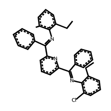 CCc1cccc(C)c1/N=C(\c1ccccc1)c1cccc(/C(=N/c2c(Cl)cccc2CC)c2ccccc2)n1